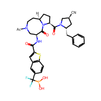 CC(=O)N1CC[C@H]2CC[C@@H](C(=O)N3C[C@@H](C#N)C[C@@H]3Cc3ccccc3)N2C(=O)[C@@H](NC(=O)c2cc3cc(C(F)(F)P(O)O)ccc3s2)C1